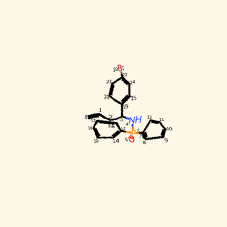 C=CCC(NP(=O)(c1ccccc1)c1ccccc1)c1ccc(Br)cc1